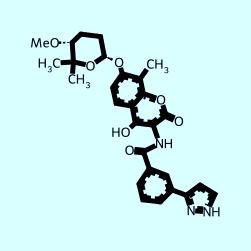 CO[C@@H]1CC[C@H](Oc2ccc3c(O)c(NC(=O)c4cccc(-c5cc[nH]n5)c4)c(=O)oc3c2C)OC1(C)C